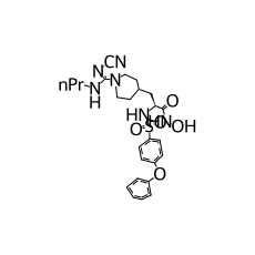 CCCN/C(=N/C#N)N1CCC(C[C@H](NS(=O)(=O)c2ccc(Oc3ccccc3)cc2)C(=O)NO)CC1